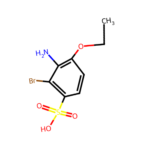 CCOc1ccc(S(=O)(=O)O)c(Br)c1N